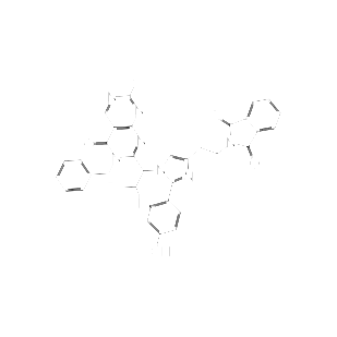 CCC(CC)C(c1nc2nc(Cl)ncc2c(=O)n1Cc1ccccc1)n1cc(CCN2C(=O)c3ccccc3C2=O)nc1-c1ccc(C)cc1